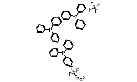 F[B-](F)(F)F.F[B-](F)(F)F.[Pd+2].c1ccc(P(c2ccccc2)c2ccccc2)cc1.c1ccc(P(c2ccccc2)c2ccccc2)cc1.c1ccc(P(c2ccccc2)c2ccccc2)cc1